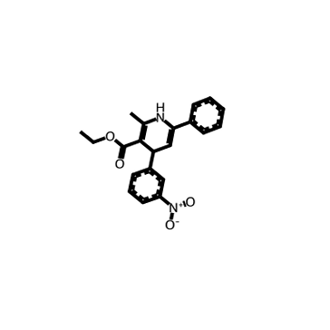 CCOC(=O)C1=C(C)NC(c2ccccc2)=CC1c1cccc([N+](=O)[O-])c1